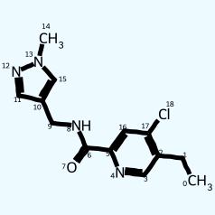 CCc1cnc(C(=O)NCc2cnn(C)c2)cc1Cl